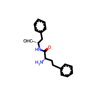 N[C@@H](CCc1ccccc1)C(=O)N[C@H](C=O)Cc1ccccc1